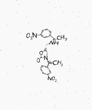 C[C@H](NC[C@@H]1CN([C@@H](C)c2cccc([N+](=O)[O-])c2)C(=O)O1)c1cccc([N+](=O)[O-])c1